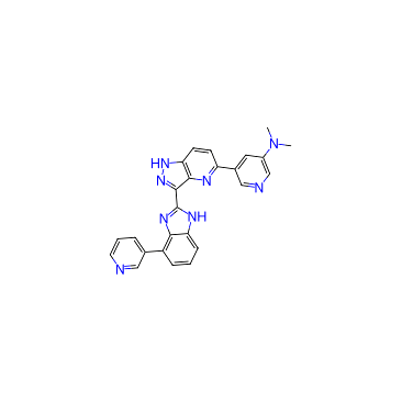 CN(C)c1cncc(-c2ccc3[nH]nc(-c4nc5c(-c6cccnc6)cccc5[nH]4)c3n2)c1